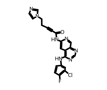 O=C(C#CCCn1ccnc1)Nc1cc2c(Nc3ccc(F)c(Cl)c3)ncnc2cn1